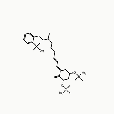 C=C1C(=CC=CCCCC(C)CCc2ccccc2C(C)(C)O)C[C@@H](O[Si](C)(C)C(C)(C)C)C[C@@H]1O[Si](C)(C)C(C)(C)C